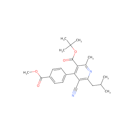 COC(=O)c1ccc(-c2c(C#N)c(CC(C)C)nc(C)c2C(=O)OC(C)(C)C)cc1